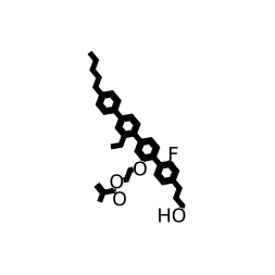 C=C(C)C(=O)OCCOc1cc(-c2ccc(-c3ccc(CCCCC)cc3)cc2CC)ccc1-c1ccc(CCCO)cc1F